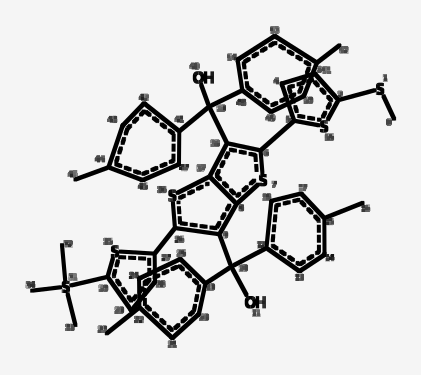 CSc1ccc(-c2sc3c(C(O)(c4ccc(C)cc4)c4ccc(C)cc4)c(-c4ccc(S(C)(C)C)s4)sc3c2C(O)(c2ccc(C)cc2)c2ccc(C)cc2)s1